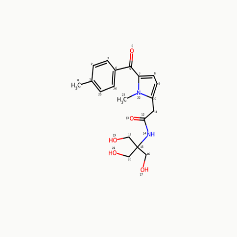 Cc1ccc(C(=O)c2ccc(CC(=O)NC(CO)(CO)CO)n2C)cc1